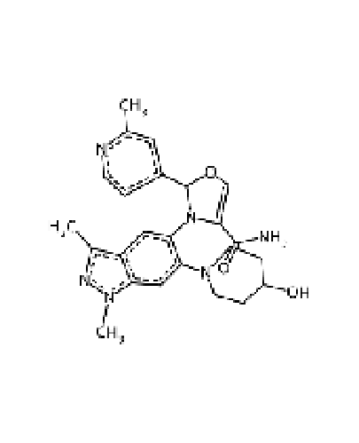 Cc1cc(C2OC=C(C(N)=O)N2c2cc3c(C)nn(C)c3cc2N2CCC(O)CC2)ccn1